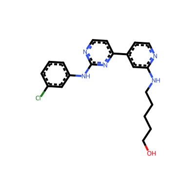 OCCCCCNc1cc(-c2ccnc(Nc3cccc(Cl)c3)n2)ccn1